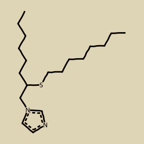 CCCCCCCCSC(CCCCCC)Cn1ccnc1